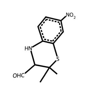 CC1(C)Sc2cc([N+](=O)[O-])ccc2NC1C=O